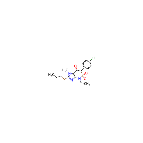 CCCSc1nc2c(n1C)C(=O)C(c1ccc(Cl)cc1)S(=O)(=O)N2CC